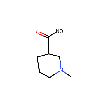 CN1CCCC(C(=O)N=O)C1